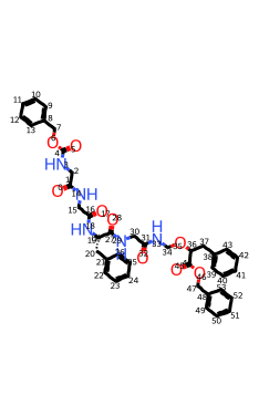 O=C(CNC(=O)OCc1ccccc1)NCC(=O)N[C@@H](Cc1ccccc1)C(=O)NCC(=O)NCOC(Cc1ccccc1)C(=O)OCc1ccccc1